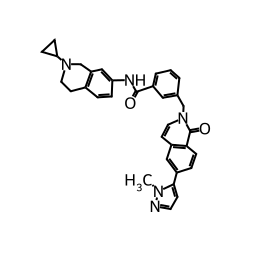 Cn1nccc1-c1ccc2c(=O)n(Cc3cccc(C(=O)Nc4ccc5c(c4)CN(C4CC4)CC5)c3)ccc2c1